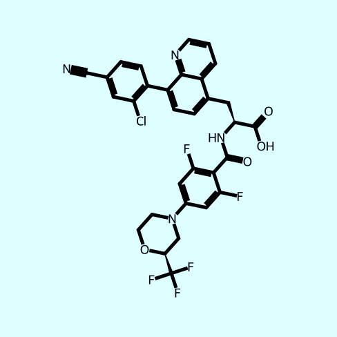 N#Cc1ccc(-c2ccc(C[C@H](NC(=O)c3c(F)cc(N4CCO[C@H](C(F)(F)F)C4)cc3F)C(=O)O)c3cccnc23)c(Cl)c1